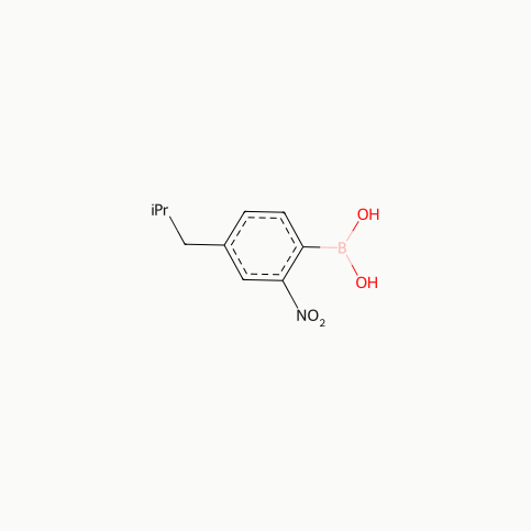 CC(C)Cc1ccc(B(O)O)c([N+](=O)[O-])c1